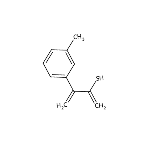 C=C(S)C(=C)c1cccc(C)c1